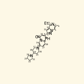 CCc1nc(C)cn2nc(C3=CC(=O)N4C=C(N5CCC(N6CCCC6)CC5)C=CC4P3)cc12